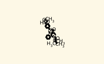 CC(C)(C)OC(=O)N1CCC2(CC1)C1OC1N(c1ccc(NS(C)(=O)=O)cc1)CN2c1ccccc1